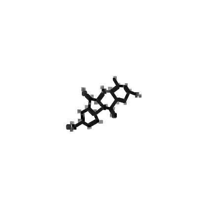 Cc1cc(F)cc2c(=O)n3c(nc12)C(=O)c1cc([N+](=O)[O-])ccc1-3